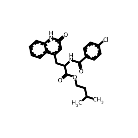 CC(C)CCOC(=O)C(Cc1cc(=O)[nH]c2ccccc12)NC(=O)c1ccc(Cl)cc1